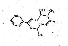 CC(O/N=[N+](/[O-])N(C)[C@H](C(=O)O)C(C)C)OC(=O)c1ccccc1